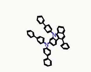 c1ccc(-c2ccc(N(c3ccc(-c4ccccc4)cc3)c3ccc4c5c(-c6ccccc6)cc6ccccc6c5n(-c5ccc(-c6ccccc6)cc5)c4c3)cc2)cc1